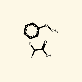 COc1ccccc1.O=C(O)C(F)F